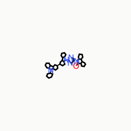 O=c1c2ccccc2c2ccccc2n1-c1cnc(-n2c3ccccc3c3cc(-c4ccc5c(c4)c4ccccc4n5-c4ccccc4)ccc32)nc1